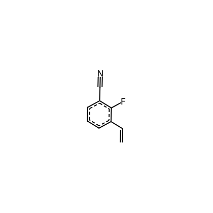 C=Cc1cccc(C#N)c1F